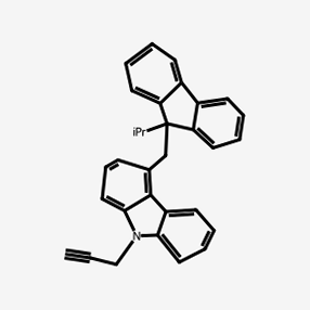 C#CCn1c2ccccc2c2c(CC3(C(C)C)c4ccccc4-c4ccccc43)cccc21